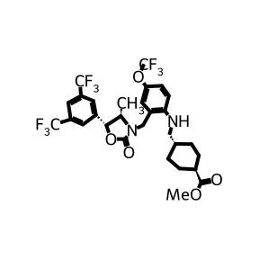 COC(=O)[C@H]1CC[C@H](CNc2ccc(OC(F)(F)F)cc2CN2C(=O)O[C@H](c3cc(C(F)(F)F)cc(C(F)(F)F)c3)[C@@H]2C)CC1